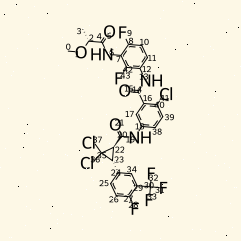 CO[C@H](C)C(=O)Nc1c(F)ccc(NC(=O)c2cc(NC(=O)[C@H]3[C@H](c4ccc(F)c(C(F)(F)F)c4)C3(Cl)Cl)ccc2Cl)c1F